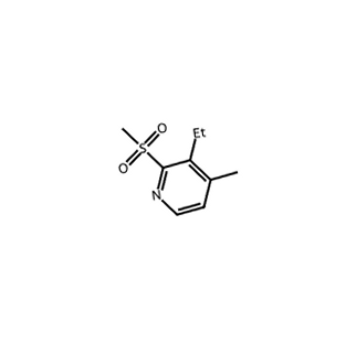 CCc1c(C)ccnc1S(C)(=O)=O